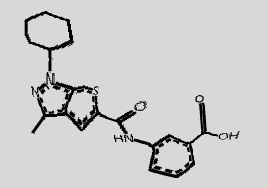 Cc1nn(C2CCCCC2)c2sc(C(=O)Nc3cccc(C(=O)O)c3)cc12